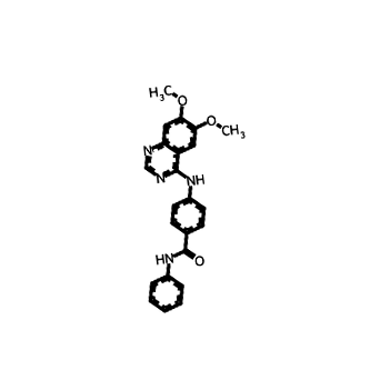 COc1cc2ncnc(Nc3ccc(C(=O)Nc4ccccc4)cc3)c2cc1OC